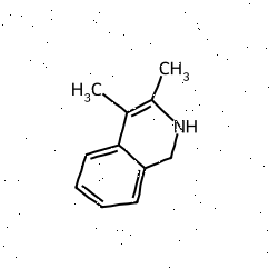 CC1=C(C)c2ccccc2CN1